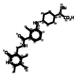 Cc1[nH]c(=O)c(CNC(=O)c2cccc(N[C@H]3CC[C@H](N(C(=O)O)C(C)(C)C)CC3)c2C)c(C)c1Br